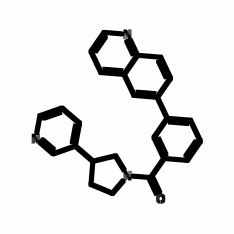 O=C(c1cccc(-c2ccc3ncccc3c2)c1)N1CCC(c2cccnc2)C1